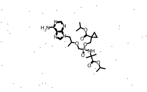 CC(C)OC(=O)C1(COP(=O)(COC(C)Cn2cnc3c(N)ncnc32)NC(C)(C)C(=O)OC(C)C)CC1